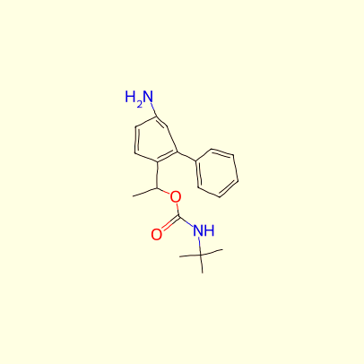 CC(OC(=O)NC(C)(C)C)c1ccc(N)cc1-c1ccccc1